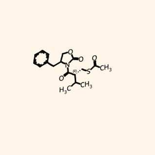 CC(=O)SC[C@@H](C(=O)N1C(=O)OCC1Cc1ccccc1)C(C)C